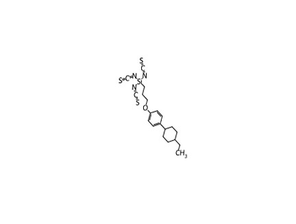 CCC1CCC(c2ccc(OCCC[Si](N=C=S)(N=C=S)N=C=S)cc2)CC1